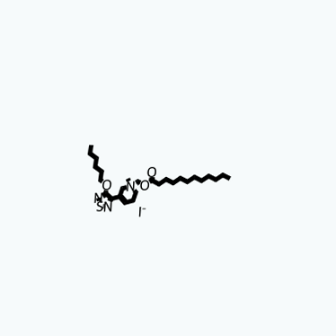 CCCCCCCCCCCC(=O)OC[N+]1(C)CCC=C(c2nsnc2OCCCCCC)C1.[I-]